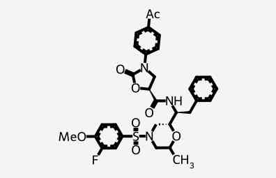 COc1ccc(S(=O)(=O)N2CC(C)O[C@@H]([C@H](Cc3ccccc3)NC(=O)[C@@H]3CN(c4ccc(C(C)=O)cc4)C(=O)O3)C2)cc1F